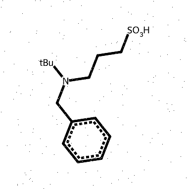 CC(C)(C)N(CCCS(=O)(=O)O)Cc1ccccc1